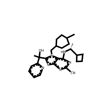 CC1CCC(Cn2c(C(C)(O)c3ccccn3)nc3nc(C#N)nc(N[C@H](C)C4CCC4)c32)CC1